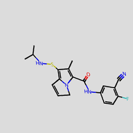 Cc1c(SNC(C)C)c2n(c1C(=O)Nc1ccc(F)c(C#N)c1)CC=C2